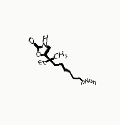 CCCCCCCCCCCCCCCC(C)(CC)c1c[nH]c(=O)o1